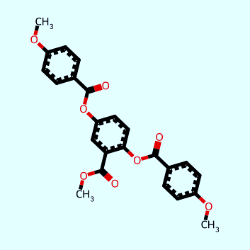 COC(=O)c1cc(OC(=O)c2ccc(OC)cc2)ccc1OC(=O)c1ccc(OC)cc1